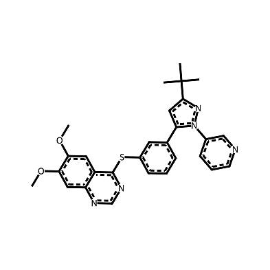 COc1cc2ncnc(Sc3cccc(-c4cc(C(C)(C)C)nn4-c4cccnc4)c3)c2cc1OC